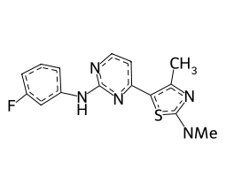 CNc1nc(C)c(-c2ccnc(Nc3cccc(F)c3)n2)s1